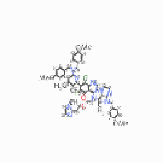 COc1ccc(CNc2nccnc2C(C)N2C=C(OCCc3nccn3C)Oc3c(F)c(-c4nc(N(Cc5ccc(OC)cc5)Cc5ccc(OC)cc5)cc(C)c4C(F)(F)F)c(Cl)c4c3=C2NCN=4)cc1